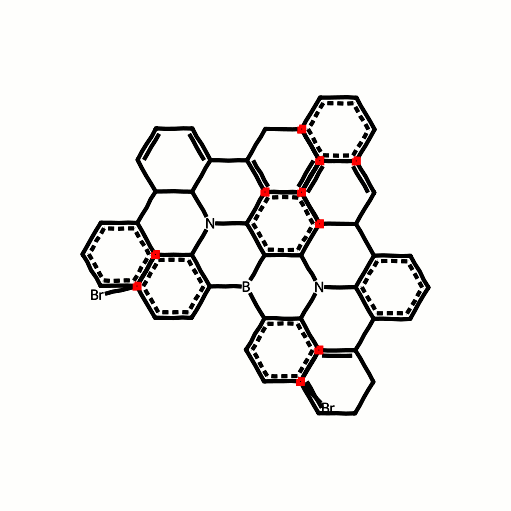 Brc1ccc2c(c1)N(c1c(C3=CC=CCC3)cccc1C1C=CC=CC1)c1cc(-c3ccccc3)cc3c1B2c1ccc(Br)cc1N3C1C(C2=CC=CCC2)=CC=CC1c1ccccc1